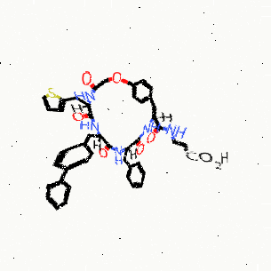 O=C(O)CCNC(=O)[C@@H]1Cc2ccc(cc2)OCC(=O)N[C@@H](Cc2cccs2)C(=O)N[C@@H](Cc2ccc(-c3ccccc3)cc2)C(=O)N[C@@H](Cc2ccccc2)C(=O)N1